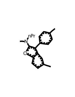 CCCN(C)c1oc2ccc(C)cc2c1-c1ccc(C)cc1